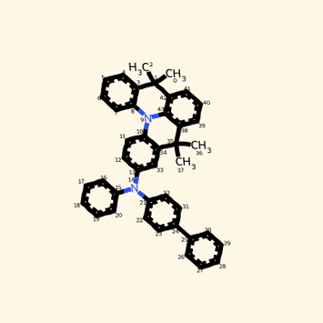 CC1(C)c2ccccc2N2c3ccc(N(c4ccccc4)c4ccc(-c5ccccc5)cc4)cc3C(C)(C)c3cccc1c32